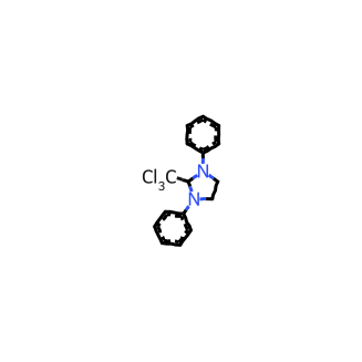 ClC(Cl)(Cl)C1N(c2ccccc2)CCN1c1ccccc1